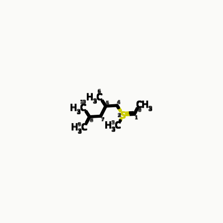 C/C=S(/C)CC(C)CC(C)C